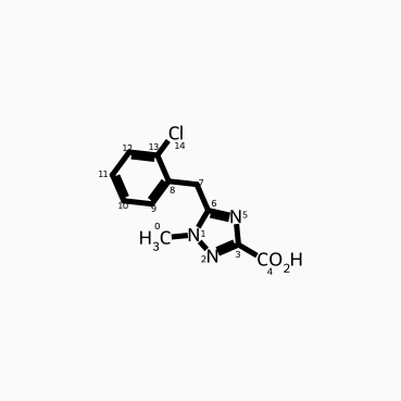 Cn1nc(C(=O)O)nc1Cc1ccccc1Cl